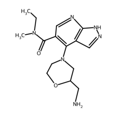 CCN(C)C(=O)c1cnc2[nH]ncc2c1N1CCOC(CN)C1